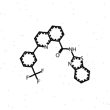 O=C(Nc1nc2ccccc2s1)c1cccc2ccc(-c3cccc(C(F)(F)F)c3)nc12